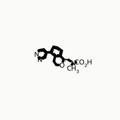 CN(C[C@H]1OCCc2c(-c3ccnnc3)cccc21)C(=O)O